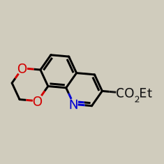 CCOC(=O)c1cnc2c3c(ccc2c1)OCCO3